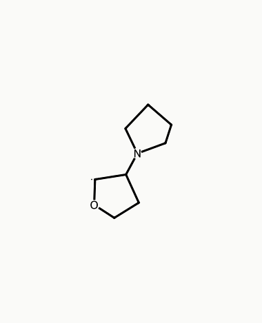 [CH]1OCCC1N1CCCC1